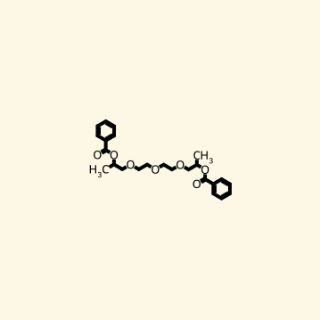 CC(COCCOCCOCC(C)OC(=O)c1ccccc1)OC(=O)c1ccccc1